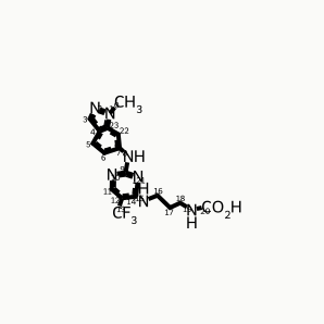 Cn1ncc2ccc(Nc3ncc(C(F)(F)F)c(NCCCNC(=O)O)n3)cc21